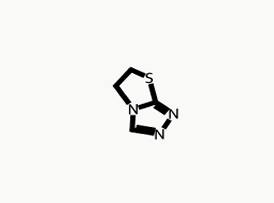 c1nnc2n1CCS2